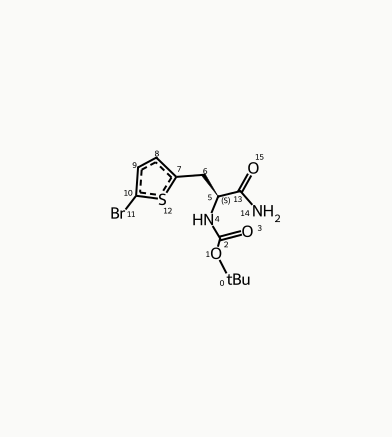 CC(C)(C)OC(=O)N[C@@H](Cc1ccc(Br)s1)C(N)=O